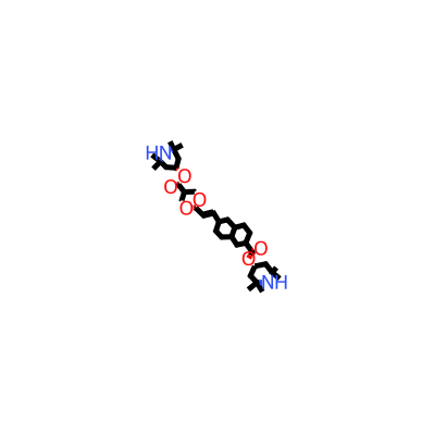 CC1(C)CC(OC(=O)C2COC(/C=C/C3CCC4CC(C(=O)OC5CC(C)(C)NC(C)(C)C5)CCC4C3)OC2)CC(C)(C)N1